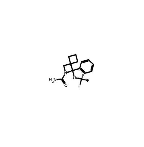 NC(=O)N1CC2(CCC2)C1(OC(F)(F)F)c1ccccc1